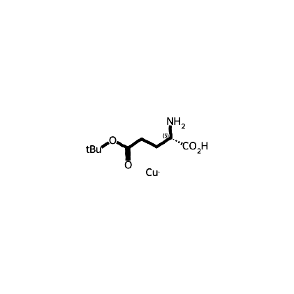 CC(C)(C)OC(=O)CC[C@H](N)C(=O)O.[Cu]